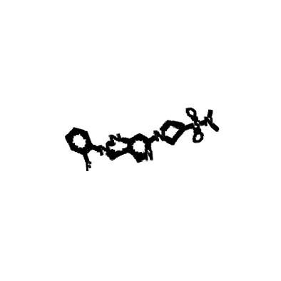 CN(C)S(=O)(=O)C1CN(c2cc3nn(-c4ccccc4F)cc3cn2)C1